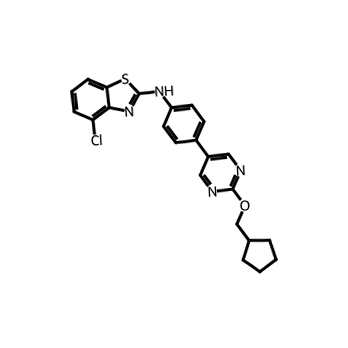 Clc1cccc2sc(Nc3ccc(-c4cnc(OCC5CCCC5)nc4)cc3)nc12